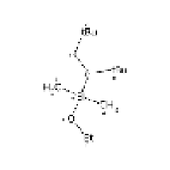 CCO[Si](C)(C)C(CC(C)(C)C)C(C)(C)C